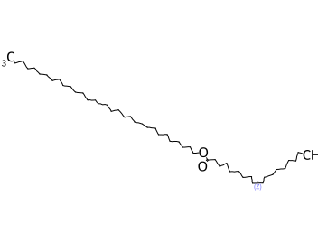 CCCCCCCC/C=C\CCCCCCCC(=O)OCCCCCCCCCCCCCCCCCCCCCCCCCCCCCCCC